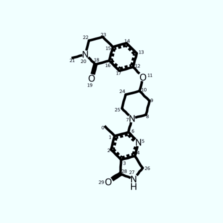 Cc1cc2c(nc1N1CCC(Oc3ccc4c(c3)C(=O)N(C)CC4)CC1)CNC2=O